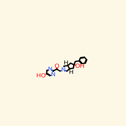 O=C(CN1C[C@@H]2CC(O)(Cc3ccccc3)C[C@@H]2C1)c1ncc(O)cn1